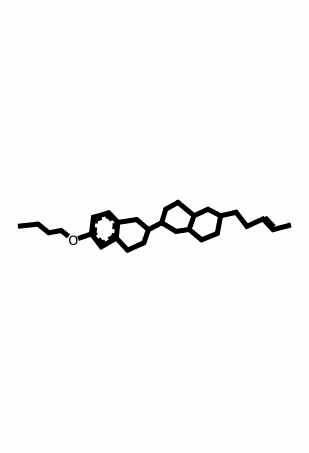 CC=CCCC1CCC2CC(C3CCc4cc(OCCCC)ccc4C3)CCC2C1